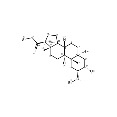 CCO[C@H]1C[C@@]2(C)[C@@H](CC[C@@H]3[C@@H]2CC[C@]2(C)[C@@H](C(=O)CBr)CC[C@@H]32)C[C@@H]1O